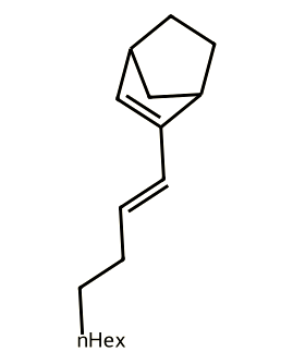 CCCCCCCCC=CC1=CC2CCC1C2